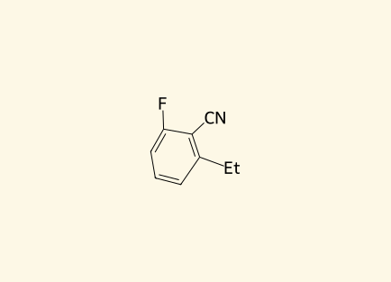 CCc1cccc(F)c1C#N